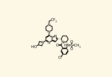 CS(=O)(=O)Nc1ccc(Cl)cc1C(=O)N1CCCC[C@H]1c1cc2nc(N3CC(O)C3)cc(N3CCN(CC(F)(F)F)CC3)n2n1